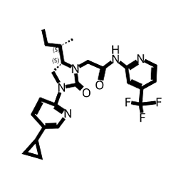 CC[C@H](C)[C@H]1CN(c2ccc(C3CC3)cn2)C(=O)N1CC(=O)Nc1cc(C(F)(F)F)ccn1